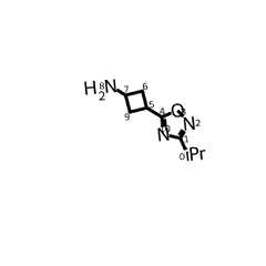 CC(C)c1noc(C2CC(N)C2)n1